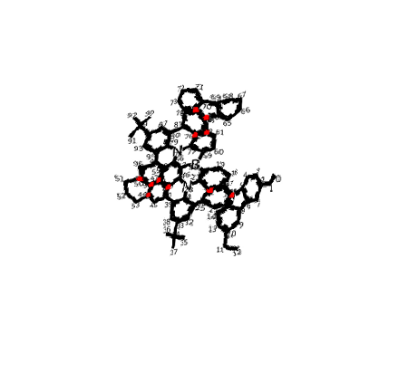 CCc1ccc2c(c1)c1cc(CC)ccc1n2-c1ccc2c(c1)N(c1c(-c3ccccc3)cc(C(C)(C)C)cc1-c1ccccc1)c1cc(C3CCCCC3)cc3c1B2c1ccc(-n2c4ccccc4c4ccccc42)cc1N3c1c(-c2ccccc2)cc(C(C)(C)C)cc1-c1ccccc1